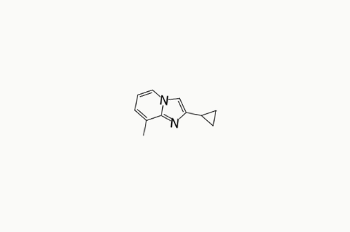 Cc1cccn2cc(C3CC3)nc12